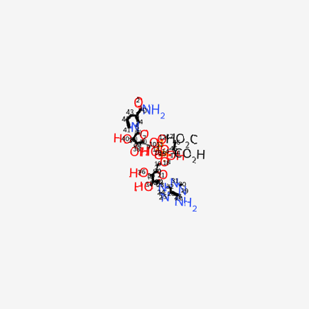 NC(=O)C1=CN([C@@H]2O[C@H](COP(=O)(O)OP(=O)(O)OC[C@H]3O[C@@H](n4cnc5c(N)ncnc54)[C@H](O)[C@@H]3O)[C@@H](O)[C@H]2O)C=CC1.O=C(O)CCC(=O)O